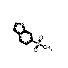 CS(=O)(=O)c1ccc2[c]csc2c1